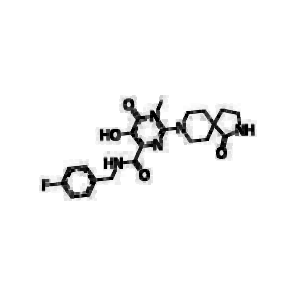 Cn1c(N2CCC3(CCNC3=O)CC2)nc(C(=O)NCc2ccc(F)cc2)c(O)c1=O